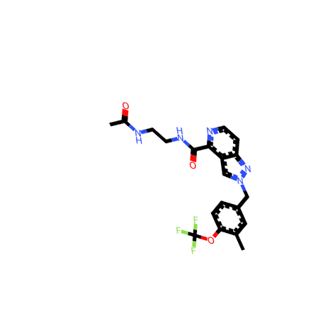 CC(=O)NCCNC(=O)c1nccc2nn(Cc3ccc(OC(F)(F)F)c(C)c3)cc12